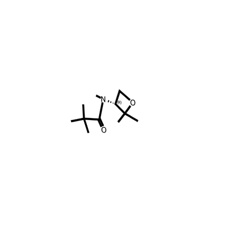 CN(C(=O)C(C)(C)C)[C@@H]1COC1(C)C